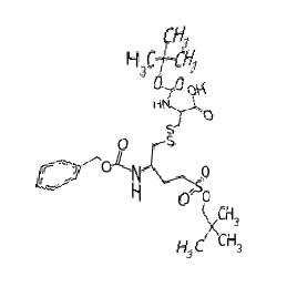 CC(C)(C)COS(=O)(=O)CCC(CSSCC(NC(=O)OC(C)(C)C)C(=O)O)NC(=O)OCc1ccccc1